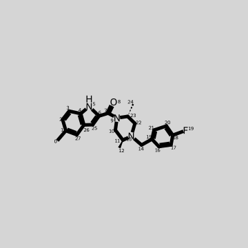 Cc1ccc2[nH]c(C(=O)N3C[C@H](C)N(Cc4ccc(F)cc4)C[C@H]3C)cc2c1